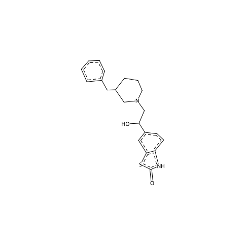 O=c1[nH]c2ccc(C(O)CN3CCCC(Cc4ccccc4)C3)cc2s1